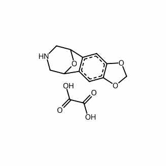 O=C(O)C(=O)O.c1c2c(cc3c1C1CNCC3O1)OCO2